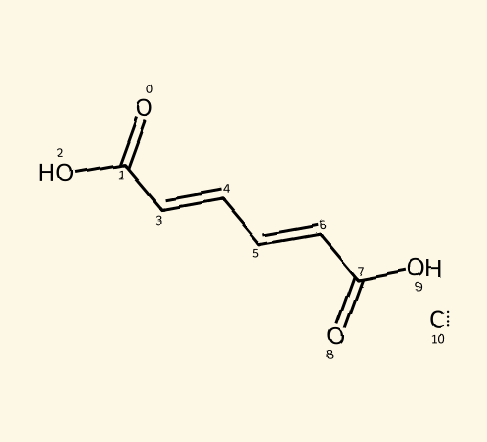 O=C(O)C=CC=CC(=O)O.[C]